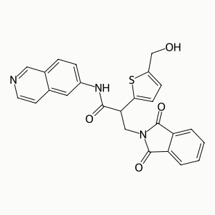 O=C(Nc1ccc2cnccc2c1)C(CN1C(=O)c2ccccc2C1=O)c1ccc(CO)s1